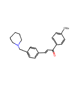 COc1ccc(C(=O)C=Cc2ccc(CN3CCCCC3)cc2)cc1